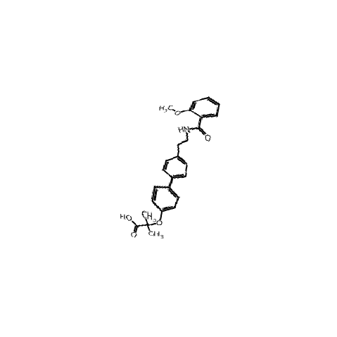 COc1ccccc1C(=O)NCCc1ccc(-c2ccc(OC(C)(C)C(=O)O)cc2)cc1